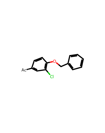 CC(=O)c1ccc(OCc2ccccc2)c(Cl)c1